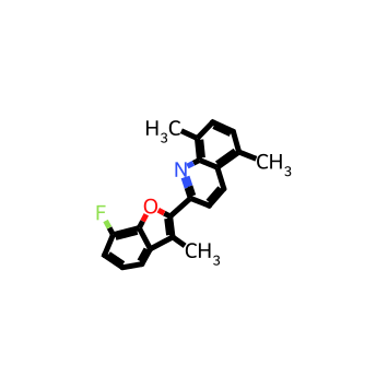 Cc1ccc(C)c2nc(-c3oc4c(F)cccc4c3C)ccc12